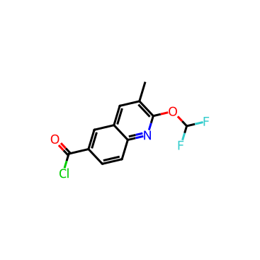 Cc1cc2cc(C(=O)Cl)ccc2nc1OC(F)F